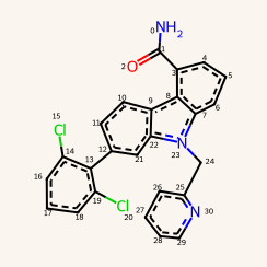 NC(=O)c1cccc2c1c1[c]cc(-c3c(Cl)cccc3Cl)cc1n2Cc1ccccn1